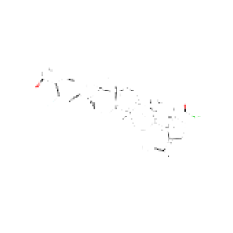 C=C(C)[C@@H]1CC[C@]2(C(=O)Cl)CC[C@]3(C)[C@H](CC[C@@H]4[C@@]5(C)CC=C(c6ccc(C(=O)OC)c(F)c6)C(C)(C)[C@@H]5CC[C@]43C)[C@@H]12